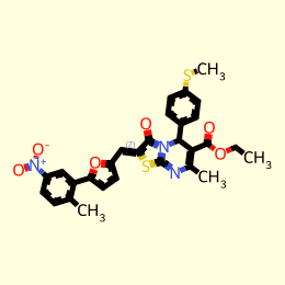 CCOC(=O)C1=C(C)N=c2s/c(=C\c3ccc(-c4cc([N+](=O)[O-])ccc4C)o3)c(=O)n2C1c1ccc(SC)cc1